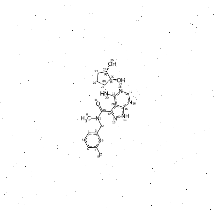 CN(Cc1cccc(F)c1)C(=O)c1n[nH]c2ncnc(N[C@@H]3CC[C@@H](O)[C@H]3O)c12